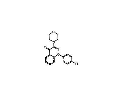 O=C(C(=S)N1CCOCC1)c1ccccc1Oc1ccc(Cl)cc1